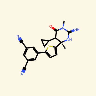 CN1C(=N)N[C@](C)(c2ccc(-c3cc(C#N)cc(C#N)c3)s2)C(C2CC2)C1=O